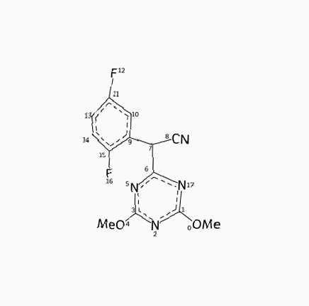 COc1nc(OC)nc(C(C#N)c2cc(F)ccc2F)n1